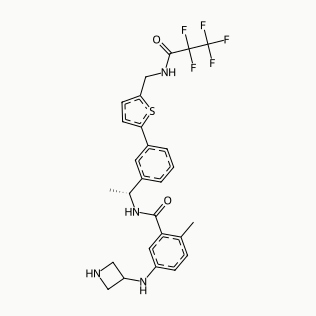 Cc1ccc(NC2CNC2)cc1C(=O)N[C@H](C)c1cccc(-c2ccc(CNC(=O)C(F)(F)C(F)(F)F)s2)c1